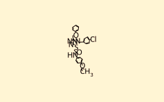 CCOc1ccc(NC(=O)CSc2nnc(COc3ccccc3)n2N=Cc2ccc(Cl)cc2)cc1